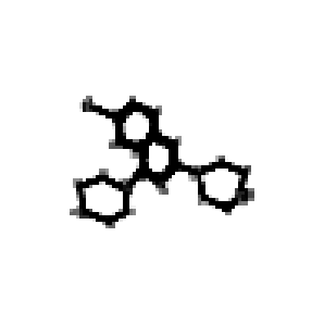 Clc1ccc2cc(N3CCNCC3)nc(N3CCSCC3)c2c1